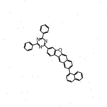 c1ccc(-c2nc(-c3ccccc3)nc(-c3ccc4c(c3)oc3cc5ccc(-c6cccc7ccccc67)cc5cc34)n2)cc1